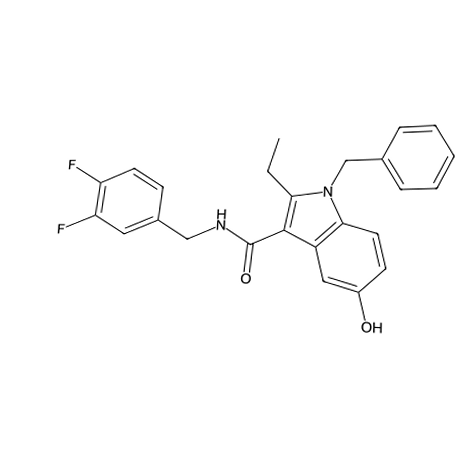 CCc1c(C(=O)NCc2ccc(F)c(F)c2)c2cc(O)ccc2n1Cc1ccccc1